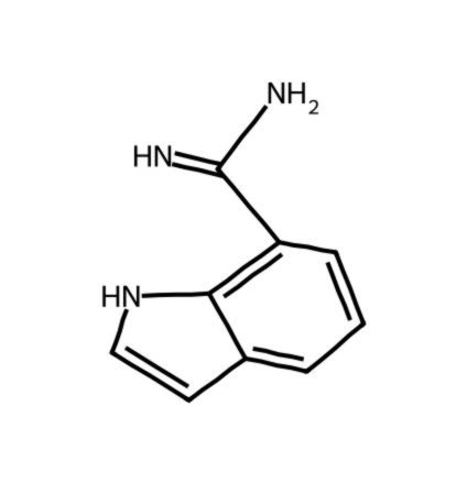 N=C(N)c1cccc2cc[nH]c12